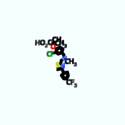 CN(Cc1ccc(OC(C)(C)C(=O)O)c(Cl)c1)Cc1nc(-c2ccc(C(F)(F)F)cc2)cs1